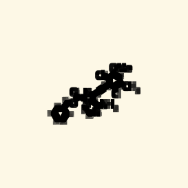 COc1cc(C)c(Cl)c(C#Cc2nc(C(=O)OCc3ccccc3)n3ncnc(N)c23)c1Cl